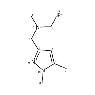 Cc1cc(CN(C)CC(C)C)nn1C